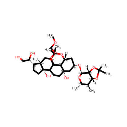 COCO[C@@H]1C[C@]2(C)[C@@H](C(O)CO)CC[C@]2(O)C2CC[C@]3(O)C[C@@H](O[C@@H]4O[C@@H](C)[C@H](C)[C@H]5OC(C)(C)O[C@@H]45)C[C@H]4OC(C)(C)OC[C@]43C21